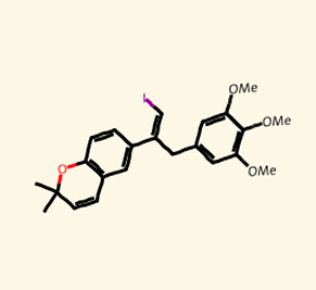 COc1cc(C/C(=C/I)c2ccc3c(c2)C=CC(C)(C)O3)cc(OC)c1OC